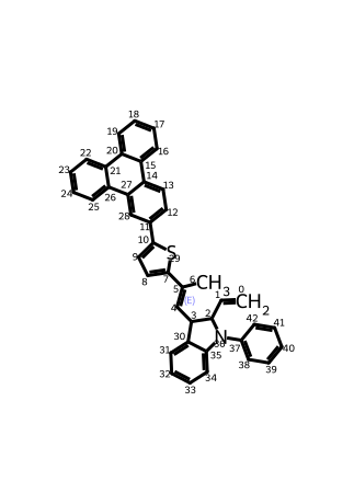 C=CC1C(/C=C(\C)c2ccc(-c3ccc4c5ccccc5c5ccccc5c4c3)s2)c2ccccc2N1c1ccccc1